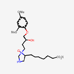 COc1ccc(OCC(O)CC[N+]2([O-])CNCC2CCCCCCC(=O)O)c(OC)c1